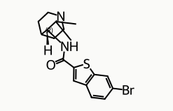 CC1(C)[C@H](NC(=O)c2cc3ccc(Br)cc3s2)C2CCN1CC2